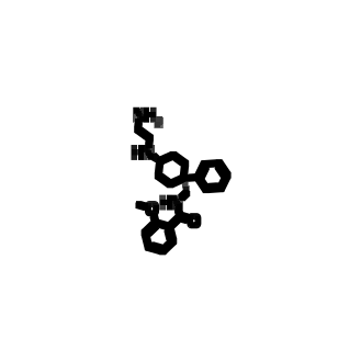 COc1ccccc1C(=O)NC[C@]1(c2ccccc2)CC[C@@H](NCCN)CC1